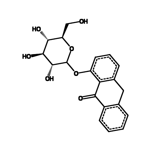 O=C1c2ccccc2Cc2cccc(OC3O[C@H](CO)[C@@H](O)[C@H](O)[C@H]3O)c21